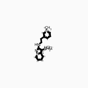 C[n+]1cccc(CCNc2nn3ccccc3c2N)c1.Cl.[Cl-]